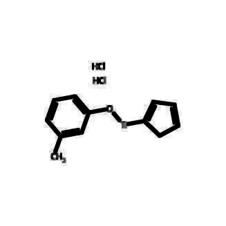 Cc1cccc([O][Ti][C]2=CC=CC2)c1.Cl.Cl